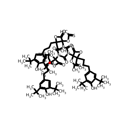 CCC1(CCCc2cc(C(C)(C)C)c(O)c(C(C)(C)C)c2)OC(=O)C1(OC(C)=S)n1c(=O)n(C2(OC(C)=S)C(=O)OC2(CC)CCCc2cc(C(C)(C)C)c(O)c(C(C)(C)C)c2)c(=O)n(C2(OC(C)=S)C(=O)OC2(CC)CCCc2cc(C(C)(C)C)c(O)c(C(C)(C)C)c2)c1=O